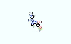 CCN1C[C@H](F)C[C@@H](Nc2nnc(-c3ccc(OC(F)(F)F)cc3O)c3c(F)ccn23)C1